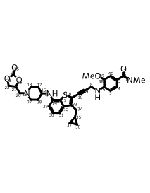 CNC(=O)c1ccc(NCC#Cc2sc3c(NC4CCN(CC5COC(=O)O5)CC4)cccc3c2CC2CC2)c(OC)c1